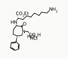 CCOC(=O)[C@H](CCCCCCCN)N[C@H]1CC[C@H](c2ccccc2)CN(CC(=O)O)C1=O.Cl.Cl